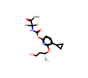 CCC(CC)(NC(=O)Oc1ccc(C2CC2)c(O[C@@H](CCO)C(F)(F)F)n1)C(=O)NC